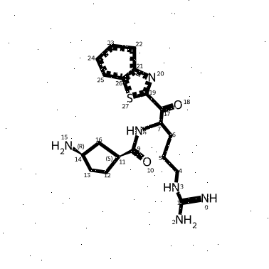 N=C(N)NCCCC(NC(=O)[C@H]1CC[C@@H](N)C1)C(=O)c1nc2ccccc2s1